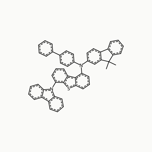 CC1(C)c2ccccc2-c2ccc(N(c3ccc(-c4ccccc4)cc3)c3cccc4sc5c(-n6c7ccccc7c7ccccc76)cccc5c34)cc21